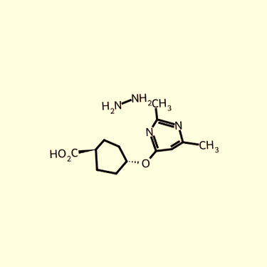 Cc1cc(O[C@H]2CC[C@H](C(=O)O)CC2)nc(C)n1.NN